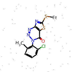 CCSc1nc2nnn(-c3c(C)cccc3Cl)c(=O)c2s1